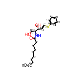 CCCCCCCCCCCCCCCCCC(=O)N[C@@H](CO)[C@H](O)/C=C/Sc1ccccc1